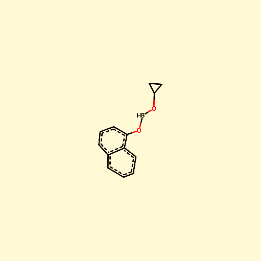 B(Oc1cccc2ccccc12)OC1CC1